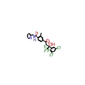 Cc1cc(C(=O)CC(O)(c2cc(Cl)cc(Cl)c2)C(F)(F)F)ccc1C(=O)NCc1ccccn1